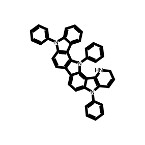 C1=Cc2c(c3c(ccc4c5ccc6c(c7ccccc7n6-c6ccccc6)c5n(-c5ccccc5)c43)n2-c2ccccc2)NC1